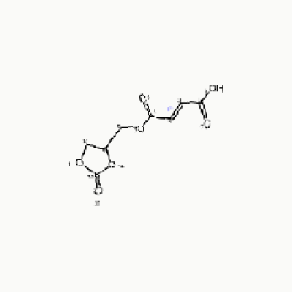 O=C(O)/C=C/C(=O)OCC1COC(=O)O1